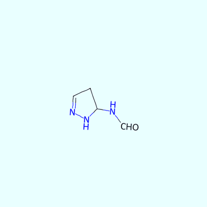 O=CNC1CC=NN1